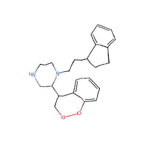 c1ccc2c(c1)CCC2CCN1CCNCC1C1COOc2ccccc21